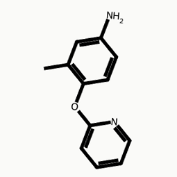 Cc1cc(N)ccc1Oc1ccccn1